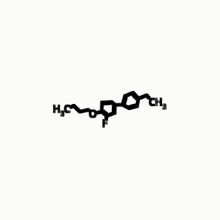 CCCCOc1ccc(-c2ccc(CC)cc2)cc1F